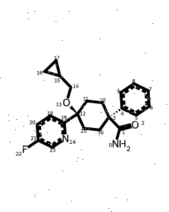 NC(=O)[C@]1(c2ccccc2)CC[C@@](OCC2CC2)(c2ccc(F)cn2)CC1